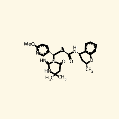 COc1ccc([C@H]([C@@H]2C[C@H]2C(=O)N[C@H]2C[C@H](C(F)(F)F)Oc3ccccc32)N2C(=N)NC(C)(C)CC2=O)cn1